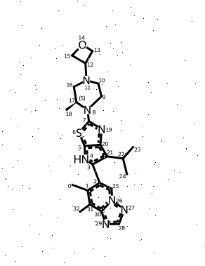 Cc1c(-c2[nH]c3sc(N4CCN(C5COC5)C[C@@H]4C)nc3c2C(C)C)cn2ncnc2c1C